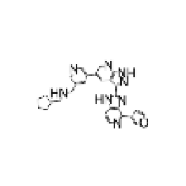 c1cc2[nH]c(-c3n[nH]c4ncc(-c5cncc(CNCC6CCCC6)c5)cc34)nc2c(-c2ccoc2)n1